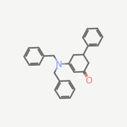 O=C1C=C(N(Cc2ccccc2)Cc2ccccc2)CC(c2ccccc2)C1